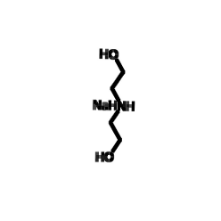 OCCNCCO.[NaH]